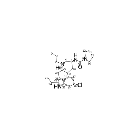 CCCN1C[C@@H](NC(=O)N(CC)CC)CC2c3cc(Cl)cc4[nH]c(CC)c(c34)C[C@H]21